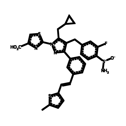 Cc1ccc(/C=C/c2cccc(-c3nn(-c4nc(C(=O)O)cs4)c(CC4CC4)c3Cc3ccc([S+](N)[O-])c(F)c3)c2)s1